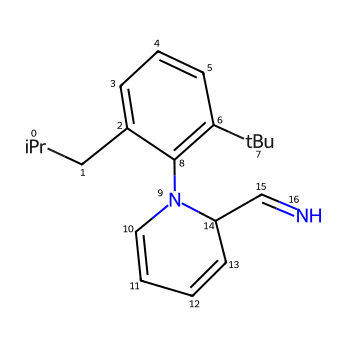 CC(C)Cc1cccc(C(C)(C)C)c1N1C=CC=CC1C=N